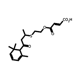 CC1=CC=CC(C)(C)C1C(=O)CC(C)SCCOC(=O)C=CC(=O)O